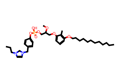 CCCCCCCCCCCCOc1cccc(OCC(COP(=O)(O)Oc2ccc(CN3C=CN(CCC)C3)cc2)OC)c1C